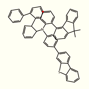 CC1(C)c2ccccc2-c2c(-c3ccccc3N(c3ccc(-c4ccc5c(c4)sc4ccccc45)cc3)C3C=CC=CC3c3ccccc3-c3ccccc3)cccc21